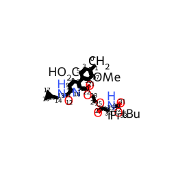 C=Cc1cc(C(=O)O)c(-c2ccc(C(=O)NCC3CC3)nc2C(=O)OCCOC(=O)C(NC(=O)OC(C)(C)C)C(C)C)cc1OC